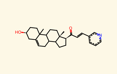 CC12CC[C@H](O)CC1=CCC1C2CC[C@@]2(C)C1CC[C@@H]2C(=O)/C=C/c1cccnc1